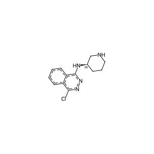 Clc1nnc(N[C@@H]2CCCNC2)c2ccccc12